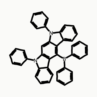 c1ccc(B(c2ccccc2)c2c3c4ccccc4n(-c4ccccc4)c3cc3c2c2ccccc2n3-c2ccccc2)cc1